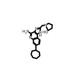 Nc1nc2cc(C3CCCCCC3)ccc2c2[nH]c(CN3CCCC3O)nc12